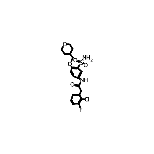 NS(=O)(=O)c1cc(NC(=O)Cc2cccc(F)c2Cl)ccc1OCC1CCOCC1